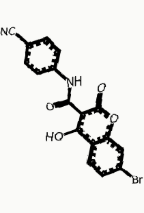 N#Cc1ccc(NC(=O)c2c(O)c3ccc(Br)cc3oc2=O)cc1